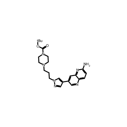 CC(C)(C)OC(=O)N1CCN(CCCn2cc(-c3cnc4ccc(N)nc4c3)cn2)CC1